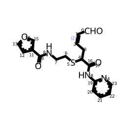 O=C/C=C\CC(SCCNC(=O)c1ccoc1)C(=O)Nc1ccccn1